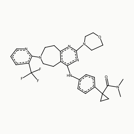 CN(C)C(=O)C1(c2ccc(Nc3nc(N4CCOCC4)nc4c3CCN(c3ncccc3C(F)(F)F)CC4)cc2)CC1